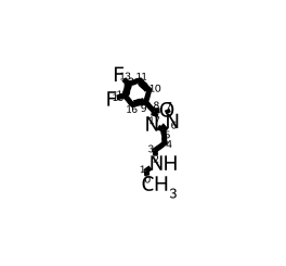 CCNCCc1noc(-c2ccc(F)c(F)c2)n1